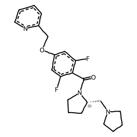 O=C(c1c(F)cc(OCc2ccccn2)cc1F)N1CCC[C@H]1CN1CCCC1